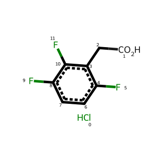 Cl.O=C(O)Cc1c(F)ccc(F)c1F